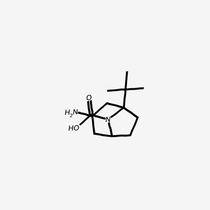 CC(C)(C)C12CCC(CC(N)C1)N2C(=O)O